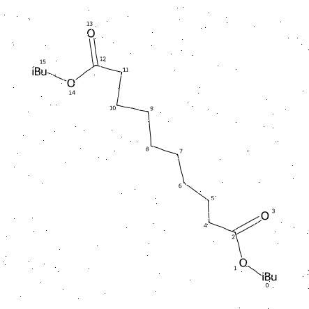 CCC(C)OC(=O)CCCCCCCCC(=O)OC(C)CC